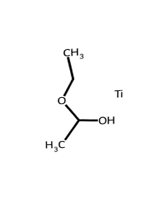 CCOC(C)O.[Ti]